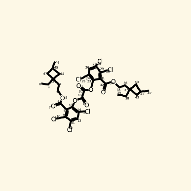 CCC1(CCOC(=O)c2c(Cl)c(Cl)cc(Cl)c2OC(=O)C(=O)Oc2c(Cl)cc(Cl)c(Cl)c2C(=O)OCCC2(CC)CC(C)C2)CC(C)C1